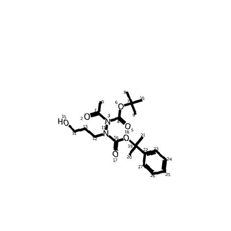 CC(=O)N(C(=O)OC(C)(C)C)N(CCCO)C(=O)OC(C)(C)c1ccccc1